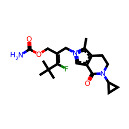 Cc1c2c(cn1CC(COC(N)=O)=C(F)C(C)(C)C)C(=O)N(C1CC1)CC2